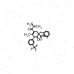 CC1=C(C(=O)N(C)C)CC(Cc2ccccc2)(C(N)=O)C(=O)N1c1cccc(C(F)(F)F)c1